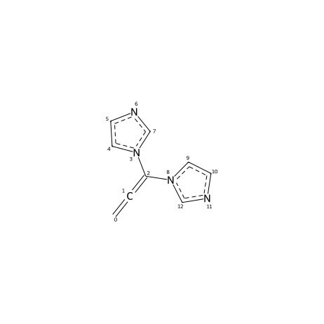 C=C=C(n1ccnc1)n1ccnc1